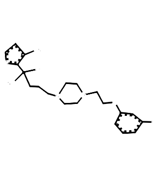 CC(C)C(C#N)(CCCN1CCN(CCOc2cccc(F)c2)CC1)c1sccc1C#N